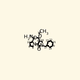 CCOC(=O)C1=C(n2cccc2CN)C(=O)N(Cc2ccccc2)C1